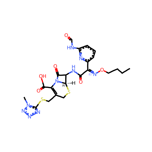 CCCCO/N=C(/C(=O)NC1C(=O)N2C(C(=O)O)=C(CSc3nnnn3C)CS[C@H]12)c1cccc(NC=O)n1